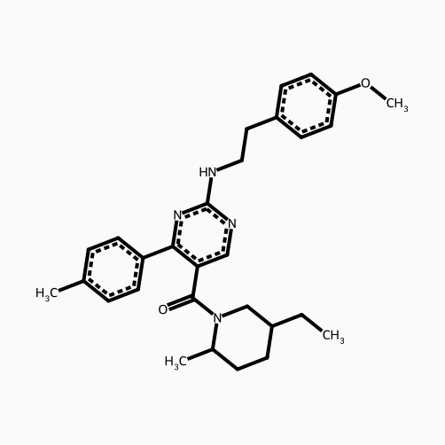 CCC1CCC(C)N(C(=O)c2cnc(NCCc3ccc(OC)cc3)nc2-c2ccc(C)cc2)C1